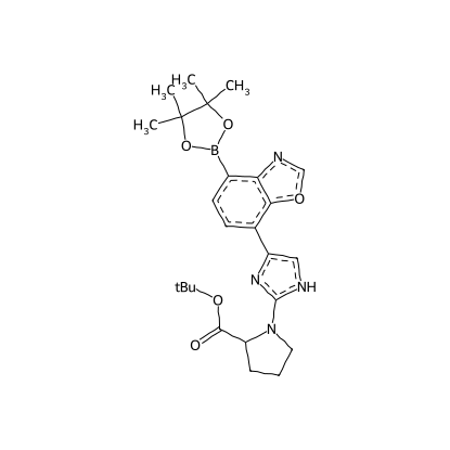 CC(C)(C)OC(=O)C1CCCN1c1nc(-c2ccc(B3OC(C)(C)C(C)(C)O3)c3ncoc23)c[nH]1